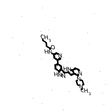 CCCCC(=O)Nc1cncc(-c2ccc3[nH]nc(-c4cc5c(N6CCN(C)CC6)nccc5[nH]4)c3c2)c1